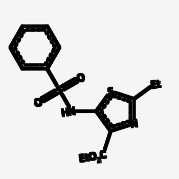 CCOC(=O)c1nc(CC)sc1NS(=O)(=O)c1ccccc1